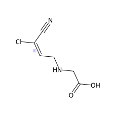 N#C/C(Cl)=C\CNCC(=O)O